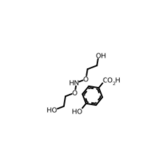 O=C(O)c1ccc(O)cc1.OCCONOCCO